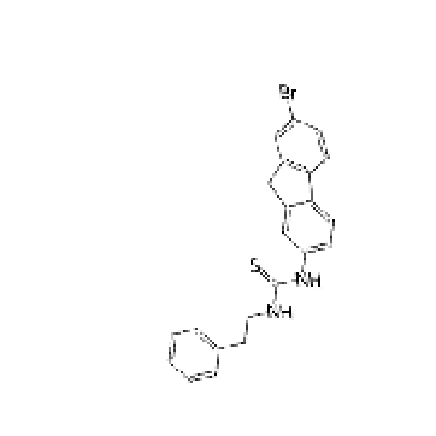 S=C(NCCc1ccccc1)Nc1ccc2c(c1)Cc1cc(Br)ccc1-2